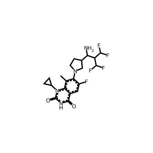 Cc1c(N2CCC(C(N)C(C(F)F)C(F)F)C2)c(F)cc2c(=O)[nH]c(=O)n(C3CC3)c12